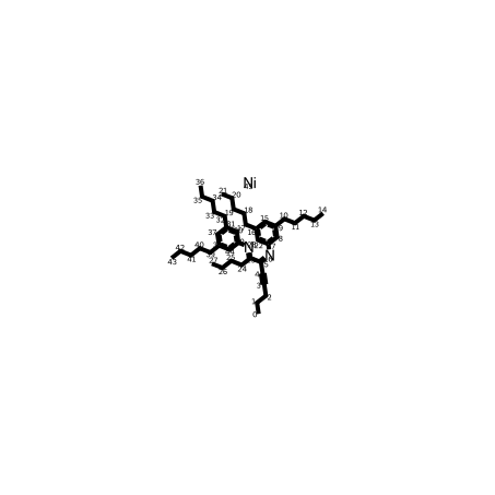 CCCC#CC(=Nc1cc(CCCCC)cc(CCCCC)c1)C(CCCC)=Nc1cc(CCCCC)cc(CCCCC)c1.[Ni]